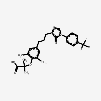 Cc1cc(CCCn2ncn(-c3ccc(C(F)(F)F)cc3)c2=O)cc(C)c1OC(C)(C)C(=O)O